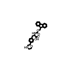 O=C(NC(Cc1ccc(C2CNCCO2)cc1)C(=O)O)OCC1c2ccccc2-c2ccccc21